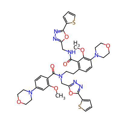 COc1cc(N2CCOCC2)ccc1C(=O)N(CCc1ccc(N2CCOCC2)c(OC)c1C(=O)NCc1nnc(-c2cccs2)o1)Cc1nnc(-c2cccs2)o1